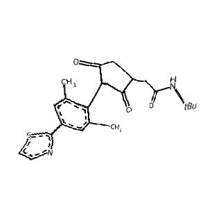 Cc1cc(-c2nccs2)cc(C)c1C1C(=O)CC(CC(=O)NC(C)(C)C)C1=O